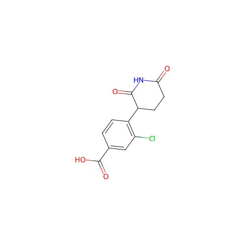 O=C1CCC(c2ccc(C(=O)O)cc2Cl)C(=O)N1